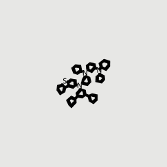 c1ccc(-c2cc(-c3ccccc3)cc(N(c3cccc(N(c4ccccc4)c4cccc(N(c5ccccc5)c5ccccc5)c4)c3)c3ccc4sc5ccccc5c4c3)c2)cc1